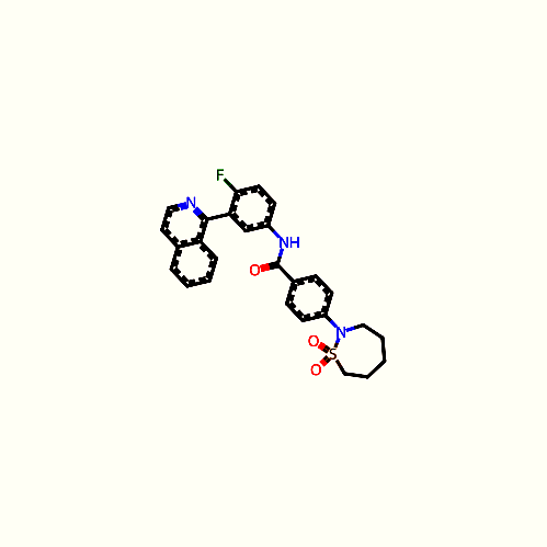 O=C(Nc1ccc(F)c(-c2nccc3ccccc23)c1)c1ccc(N2CCCCCS2(=O)=O)cc1